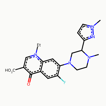 CCn1cc(C(=O)O)c(=O)c2cc(F)c(N3CCN(C)C(c4ccn(C)n4)C3)cc21